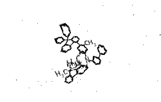 Cc1cc(N(c2cccc(-c3ccccc3)c2)c2ccc3c(c2)C(C)(C)c2ccccc2-3)c(C)cc1-c1cccc2c1-c1ccccc1C2(c1ccccc1)c1ccccc1